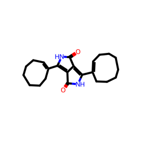 O=C1NC(/C2=C/CCCCCCC2)=C2C(=O)NC(/C3=C/CCCCCC3)=C12